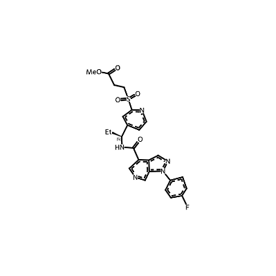 CC[C@H](NC(=O)c1cncc2c1cnn2-c1ccc(F)cc1)c1ccnc(S(=O)(=O)CCC(=O)OC)c1